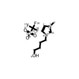 Cn1cc[n+](CCCCO)c1.O=S(=O)([O-])C(F)(F)F